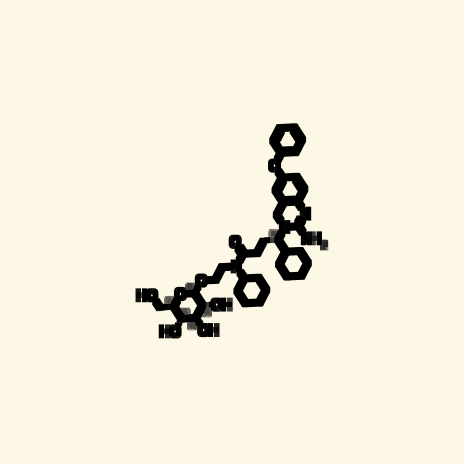 NC1=Nc2ccc(Oc3ccccc3)cc2CN1[C@@H](CCC(=O)N(CCO[C@@H]1O[C@H](CO)[C@@H](O)[C@H](O)[C@H]1O)C1CCCCC1)C1CCCCC1